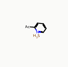 CC(=O)c1ccccn1.S